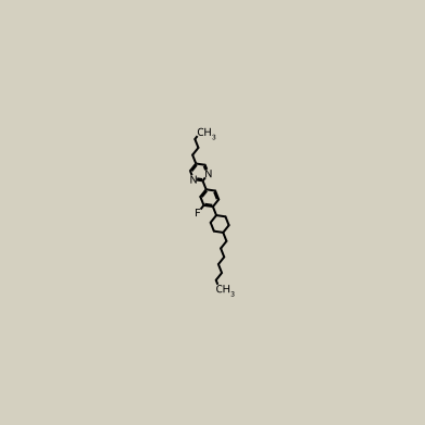 CCCCCCCC1CCC(c2ccc(-c3ncc(CCCC)cn3)cc2F)CC1